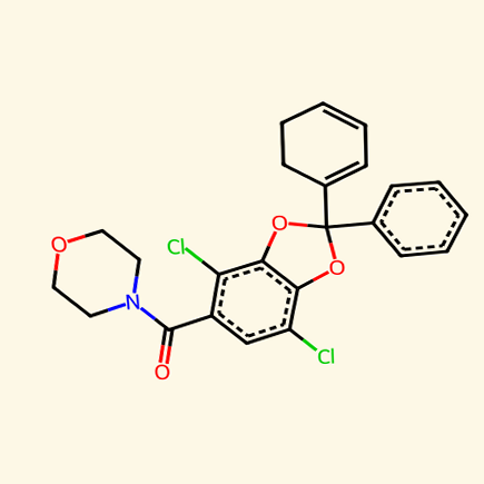 O=C(c1cc(Cl)c2c(c1Cl)OC(C1=CC=CCC1)(c1ccccc1)O2)N1CCOCC1